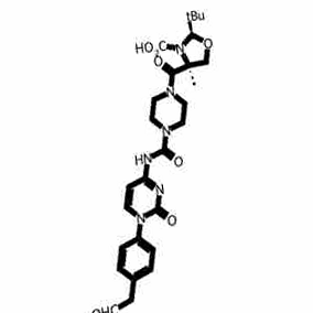 CC(C)(C)[C@H]1OC[C@@](C)(C(=O)N2CCN(C(=O)Nc3ccn(-c4ccc(CC=O)cc4)c(=O)n3)CC2)N1C(=O)O